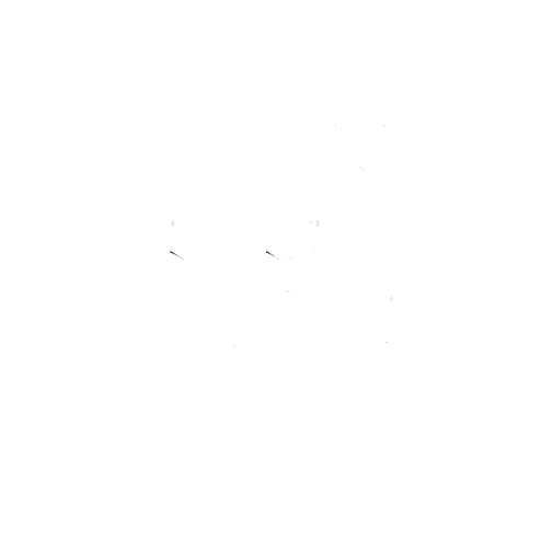 CN(C)c1ncc(-c2cccc(C[C@@H](C(N)=O)N(c3ccc4[nH]c(=O)[nH]c4c3)C(=O)[C@H]3CC[C@H](CN)CC3)c2)cn1.Cl